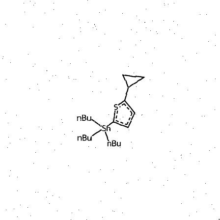 CCC[CH2][Sn]([CH2]CCC)([CH2]CCC)[c]1ccc(C2CC2)s1